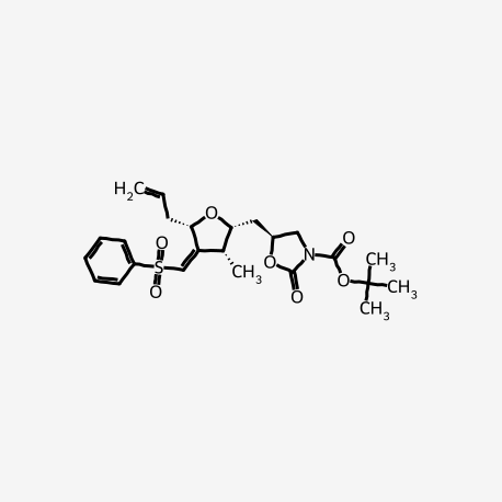 C=CC[C@@H]1O[C@H](C[C@H]2CN(C(=O)OC(C)(C)C)C(=O)O2)[C@H](C)/C1=C/S(=O)(=O)c1ccccc1